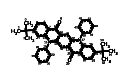 CC(C)(C)c1ccc2c(=O)c3cc4c(cc3n(-c3ccccc3)c2c1)c(=O)c1ccc(C(C)(C)C)cc1n4-c1ccccc1